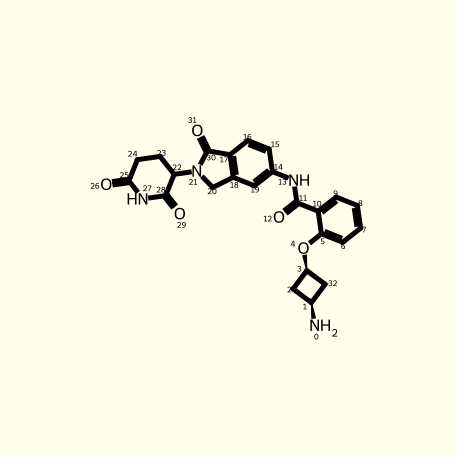 N[C@H]1C[C@@H](Oc2ccccc2C(=O)Nc2ccc3c(c2)CN(C2CCC(=O)NC2=O)C3=O)C1